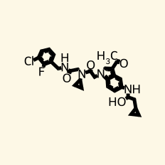 CC(=O)c1cn(CC(=O)N(CC(=O)NCc2cccc(Cl)c2F)C2CC2)c2ccc(NC(O)CC3CC3)cc12